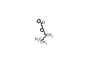 CC(C)=CCC/C(C)=C/Cc1cccc(/C=C/C(=O)c2ccccc2)c1